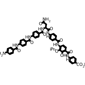 CC(C)Oc1c(NC(=O)c2ccc(NC(=O)C(CC(N)=O)NC(=O)c3ccc(NC(=O)c4ccc(NC(=O)c5ccc([N+](=O)[O-])cc5)cc4)cc3)cc2)ccc(C(=O)Nc2ccc(C(=O)O)cc2)c1O